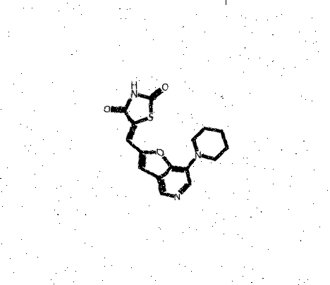 O=C1NC(=O)C(=Cc2cc3cncc(N4CCCCC4)c3o2)S1